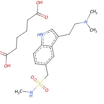 CNS(=O)(=O)Cc1ccc2[nH]cc(CCN(C)C)c2c1.O=C(O)CCCCC(=O)O